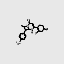 CC1C(c2ccc(C(F)(F)F)cc2)C2NC(C3=C(F)CC(F)CC3)=CC(=O)N12